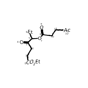 CCOC(=O)CCC(=O)C(CC)OC(=O)CCC(C)=O